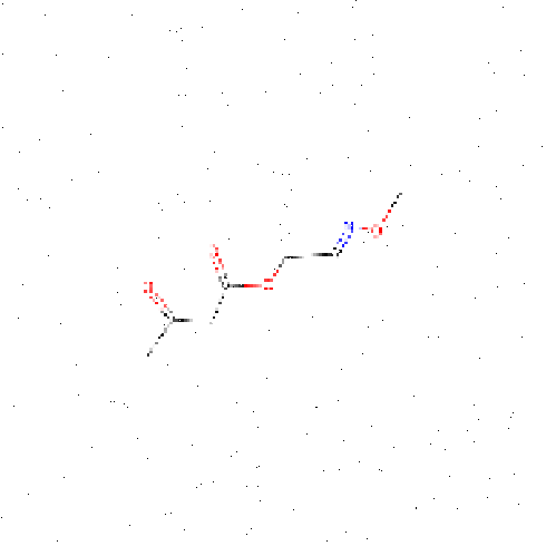 CON=CCOC(=O)CC(C)=O